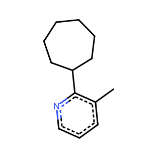 Cc1cccnc1C1CCCCCC1